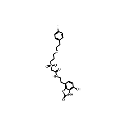 O=C(CS(=O)(=O)CCCOCCc1ccc(F)cc1)NCCc1ccc(O)c2[nH]c(=O)sc12